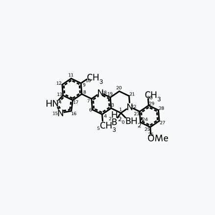 BC1(B)c2c(C)cc(-c3c(C)ccc4[nH]ncc34)nc2CCN1c1cc(OC)ccc1C